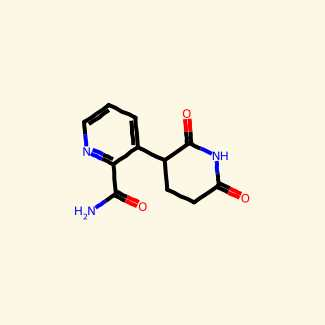 NC(=O)c1ncccc1C1CCC(=O)NC1=O